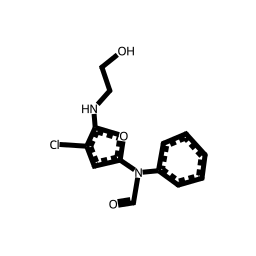 O=CN(c1ccccc1)c1cc(Cl)c(NCCO)o1